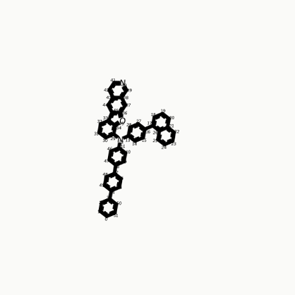 c1ccc(-c2ccc(-c3ccc(N(c4ccc(-c5cccc6ccccc56)cc4)c4cccc5c4oc4cc6cnccc6cc45)cc3)cc2)cc1